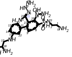 NCCNS(=O)(=O)c1ccc(-c2cccc(NCC(N)CO)c2)c(/C(N)=N/NN)c1N(N)O